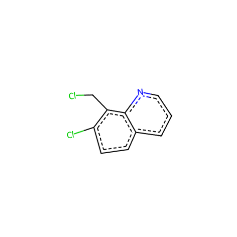 ClCc1c(Cl)ccc2cccnc12